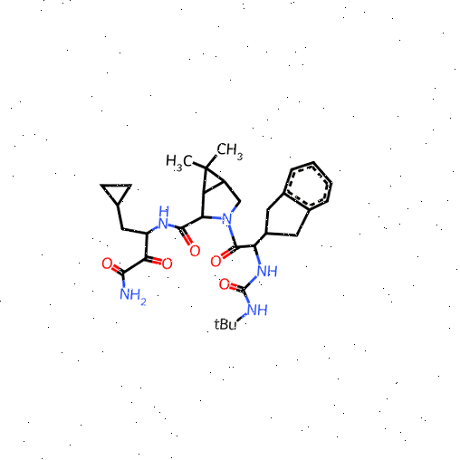 CC(C)(C)NC(=O)NC(C(=O)N1CC2C(C1C(=O)NC(CC1CC1)C(=O)C(N)=O)C2(C)C)C1Cc2ccccc2C1